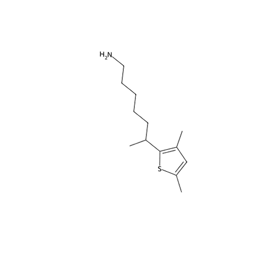 Cc1cc(C)c(C(C)CCCCCN)s1